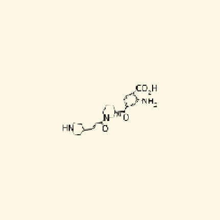 Nc1cc(C(=O)[C@@H]2CCCN(C(=O)C=CC3CCNCC3)C2)ccc1C(=O)O